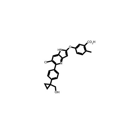 Cc1ccc(Oc2cc3nc(-c4ccc(C5(CO)CC5)cc4)c(Cl)cc3[nH]2)cc1C(=O)O